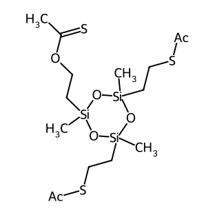 CC(=O)SCC[Si]1(C)O[Si](C)(CCOC(C)=S)O[Si](C)(CCSC(C)=O)O1